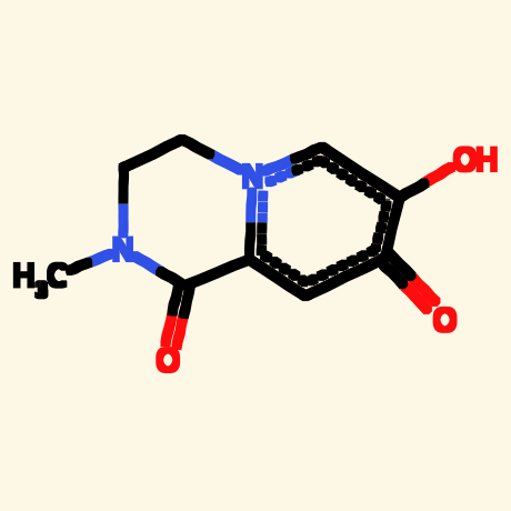 CN1CCn2cc(O)c(=O)cc2C1=O